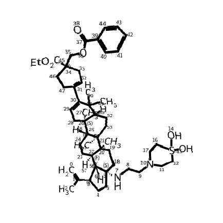 C=C(C)[C@@H]1CC[C@]2(NCCN3CCS(O)(O)CC3)CC[C@]3(C)[C@H](CC[C@@H]4[C@@]5(C)CC=C(C6=CC[C@](COC(=O)c7ccccc7)(C(=O)OCC)CC6)C(C)(C)[C@@H]5CC[C@]43C)[C@@H]12